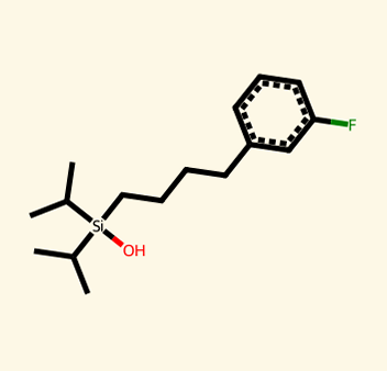 CC(C)[Si](O)(CCCCc1cccc(F)c1)C(C)C